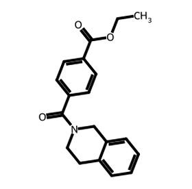 CCOC(=O)c1ccc(C(=O)N2CCc3ccccc3C2)cc1